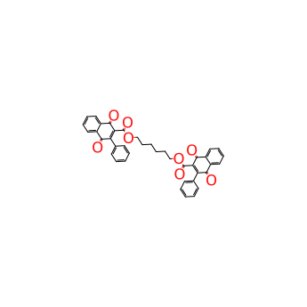 O=C(OCCCCCCOC(=O)C1=C(c2ccccc2)C(=O)c2ccccc2C1=O)C1=C(c2ccccc2)C(=O)c2ccccc2C1=O